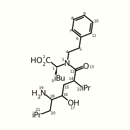 CCC(C)[C@@H](C(=O)O)N(CCc1ccccc1)C(=O)C(CC(O)C(N)CC(C)C)C(C)C